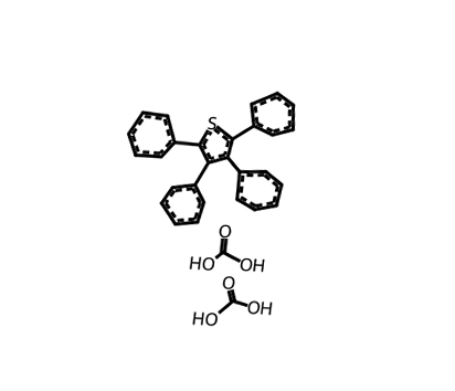 O=C(O)O.O=C(O)O.c1ccc(-c2sc(-c3ccccc3)c(-c3ccccc3)c2-c2ccccc2)cc1